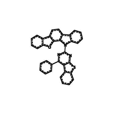 c1ccc(-c2nc(-n3c4ccccc4c4ccc5c6ccccc6oc5c43)nc3sc4ccccc4c23)cc1